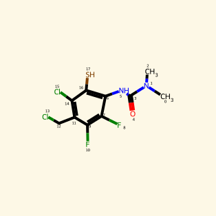 CN(C)C(=O)Nc1c(F)c(F)c(CCl)c(Cl)c1S